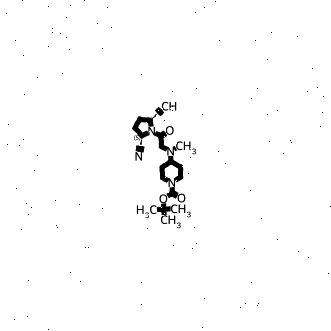 C#C[C@H]1CC[C@@H](C#N)N1C(=O)CN(C)C1CCN(C(=O)OC(C)(C)C)CC1